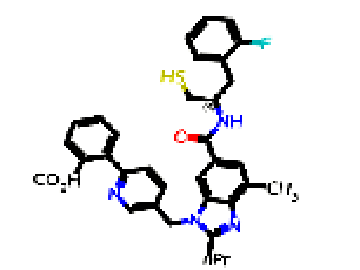 CCCc1nc2c(C)cc(C(=O)N[C@@H](CS)Cc3ccccc3F)cc2n1Cc1ccc(-c2ccccc2C(=O)O)nc1